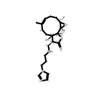 C/C1=C/CC[C@@]2(C)O[C@H]2[C@H]2OC(=O)[C@@H](CNCCCn3ccnc3)[C@@H]2CC1